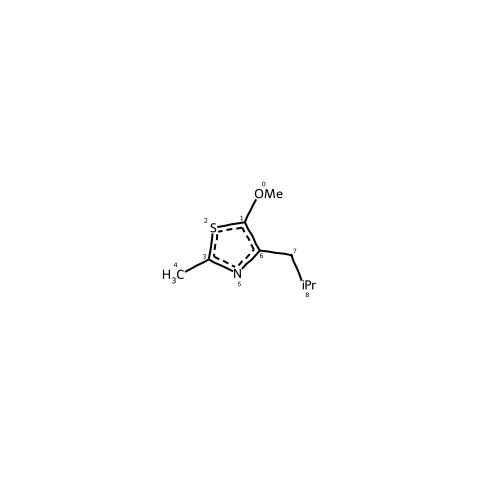 COc1sc(C)nc1CC(C)C